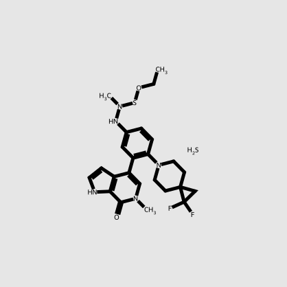 CCOSN(C)Nc1ccc(N2CCC3(CC2)CC3(F)F)c(-c2cn(C)c(=O)c3[nH]ccc23)c1.S